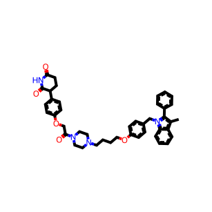 Cc1c(-c2ccccc2)n(Cc2ccc(OCCCCN3CCN(C(=O)COc4ccc(C5CCC(=O)NC5=O)cc4)CC3)cc2)c2ccccc12